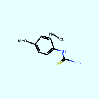 COc1ccc(NC(N)=S)cc1.N#[C][Na]